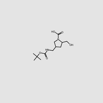 CC(C)(C)OC(=O)NCC1CC(CO)N(C(=O)O)C1